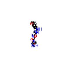 O=C(Cc1nnc(-c2cnc(NC3Cc4cc5c(cc4C3)OCC5)nc2)o1)N1CCc2[nH]nnc2C1